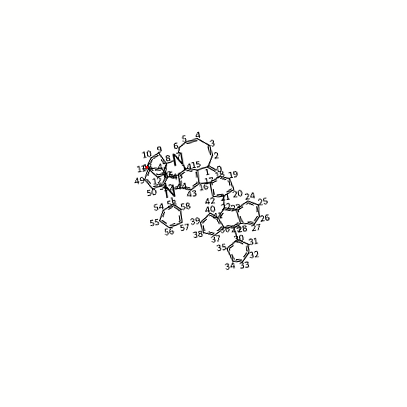 C=C1/C=C\C=C/CN(c2ccccc2)c2c1c(-c1cccc(-c3c4ccccc4c(-c4ccccc4)c4ccccc34)c1)cc1c2c2ccccc2n1-c1ccccc1